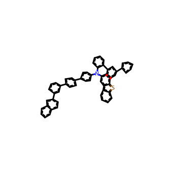 c1ccc(-c2cccc(-c3ccccc3N(c3ccc(-c4ccc(-c5cccc(-c6ccc7ccccc7c6)c5)cc4)cc3)c3ccc4sc5ccccc5c4c3)c2)cc1